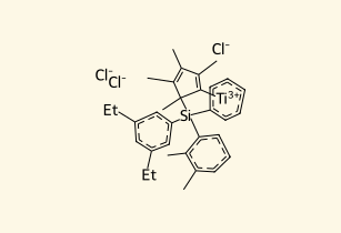 CCc1cc(CC)cc([Si](c2ccccc2)(c2cccc(C)c2C)C2(C)C(C)=C(C)C(C)=[C]2[Ti+3])c1.[Cl-].[Cl-].[Cl-]